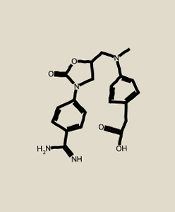 CN(CC1CN(c2ccc(C(=N)N)cc2)C(=O)O1)c1ccc(CC(=O)O)cc1